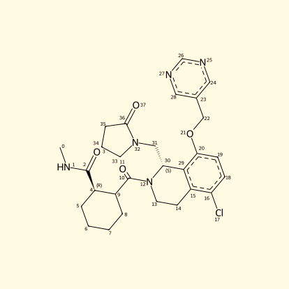 CNC(=O)[C@@H]1CCCCC1C(=O)N1CCc2c(Cl)ccc(OCc3cncnc3)c2[C@H]1CN1CCCC1=O